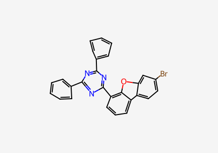 Brc1ccc2c(c1)oc1c(-c3nc(-c4ccccc4)nc(-c4ccccc4)n3)cccc12